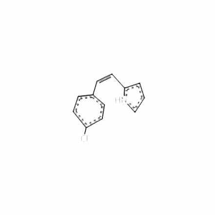 Clc1ccc(/C=C\c2ccc[nH]2)cc1